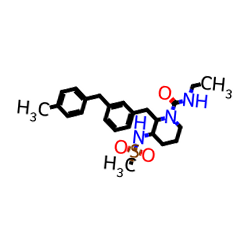 CCNC(=O)N1CCCC(NS(C)(=O)=O)C1Cc1cccc(Cc2ccc(C)cc2)c1